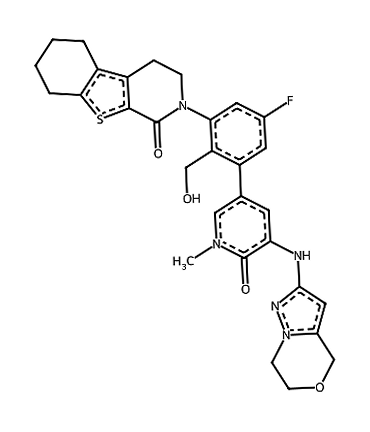 Cn1cc(-c2cc(F)cc(N3CCc4c(sc5c4CCCC5)C3=O)c2CO)cc(Nc2cc3n(n2)CCOC3)c1=O